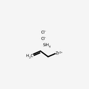 C=C[CH2][Zr+2].[Cl-].[Cl-].[SiH4]